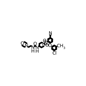 Cc1cc(Cl)cc(Oc2ccc(C#N)cc2S(=O)(=O)N2CCC(NC(=O)NCCN3CCOCC3)CC2)c1